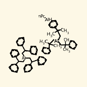 CC(C)([CH2][Al]([CH2]C(C)(C)c1ccccc1)[CH2]C(C)(C)c1ccccc1)c1ccccc1.CC[CH2][AlH2].c1ccc(C([CH2][Al]([CH2]C(c2ccccc2)c2ccccc2)[CH2]C(c2ccccc2)c2ccccc2)c2ccccc2)cc1